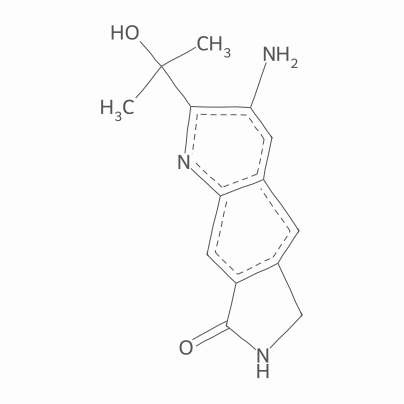 CC(C)(O)c1nc2cc3c(cc2cc1N)CNC3=O